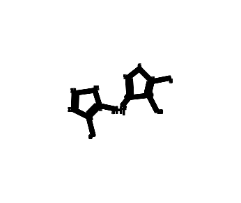 CC1=[C]([Hf][C]2=CCC(C)=C2C)CC=C1